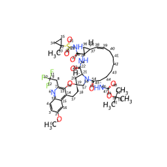 COc1ccc2nc(CC(F)(F)F)c3c(c2c1)CC[C@]1(C[C@H]2C(=O)N[C@]4(C(=O)NS(=O)(=O)C5(C)CC5)C[C@H]4/C=C\CCCCC[C@H](NC(=O)OC(C)(C)C)C(=O)N2C1)O3